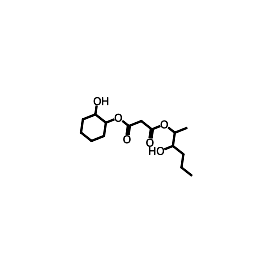 CCCC(O)C(C)OC(=O)CC(=O)OC1CCCCC1O